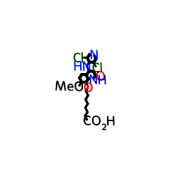 COc1ccc2c(Nc3c(Cl)cncc3Cl)cc(=O)[nH]c2c1OCCCCCCCC(=O)O